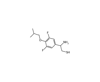 CC(C)COc1c(F)cc(C(N)CS)cc1F